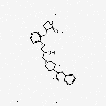 O=C1OCCC1Cc1ccccc1OC[C@@H](O)CN1CCC(c2ccc3ccccc3c2)CC1